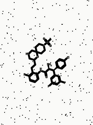 CS(=O)(=O)N1CCC2(CC1)CNCC(CCc1c(F)cccc1NC(=O)[C@@H](N)[C@@H](c1ccc(Cl)cc1)c1cc(F)cc(F)c1)O2